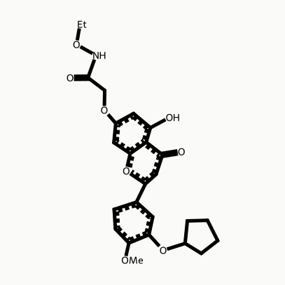 CCONC(=O)COc1cc(O)c2c(=O)cc(-c3ccc(OC)c(OC4CCCC4)c3)oc2c1